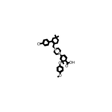 COc1ccc(OC2(C)C=C(N3CCN(CC4=C(c5ccc(Cl)cc5)CC(C)(C)CC4)CC3)C=CC2C(=O)O)cc1